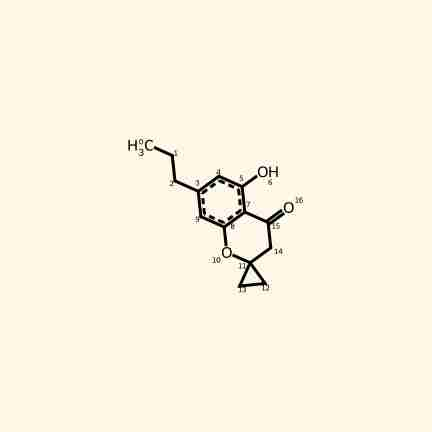 CCCc1cc(O)c2c(c1)OC1(CC1)CC2=O